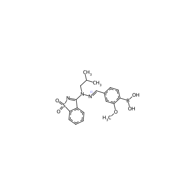 COc1cc(/C=N/N(CC(C)C)C2=NS(=O)(=O)c3ccccc32)ccc1B(O)O